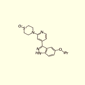 CC(C)Oc1ccc2[nH]nc(-c3ccnc(N4CC[S+]([O-])CC4)c3)c2c1